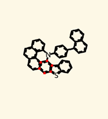 c1ccc2c(-c3ccc(N(c4cccc5sc6ccccc6c45)c4cccc5ccc6ccc7ccccc7c6c45)cc3)cccc2c1